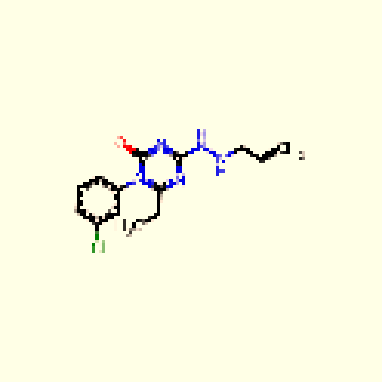 C=CCNNc1nc(CC)n(-c2cccc(Cl)c2)c(=O)n1